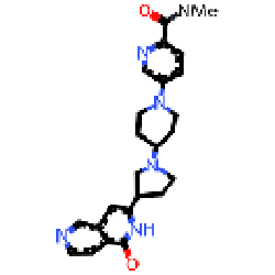 CNC(=O)c1ccc(N2CCC(N3CCC(c4cc5cnccc5c(=O)[nH]4)C3)CC2)cn1